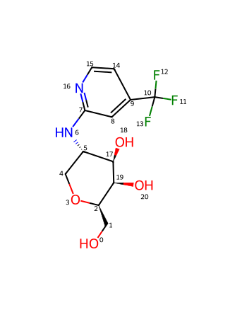 OC[C@H]1OC[C@H](Nc2cc(C(F)(F)F)ccn2)[C@@H](O)[C@H]1O